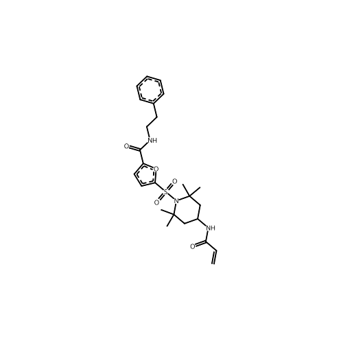 C=CC(=O)NC1CC(C)(C)N(S(=O)(=O)c2ccc(C(=O)NCCc3ccccc3)o2)C(C)(C)C1